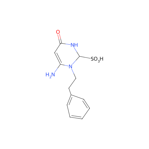 NC1=CC(=O)NC(S(=O)(=O)O)N1CCc1ccccc1